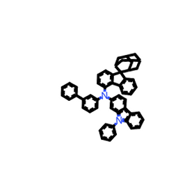 c1ccc(-c2cccc(N(c3ccc4c5ccccc5n(-c5ccccc5)c4c3)c3cccc4c3-c3ccccc3C43C4CC5CC(C4)CC3C5)c2)cc1